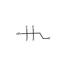 [CH2]CCC(F)(F)C(F)(F)CCF